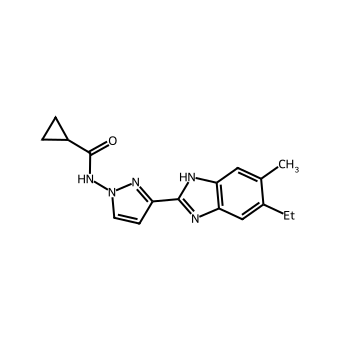 CCc1cc2nc(-c3ccn(NC(=O)C4CC4)n3)[nH]c2cc1C